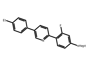 CCCCCCCc1ccc(-c2ccc(-c3ccc(CC)cc3)cn2)c(F)c1